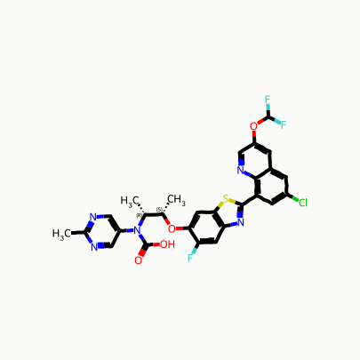 Cc1ncc(N(C(=O)O)[C@H](C)[C@H](C)Oc2cc3sc(-c4cc(Cl)cc5cc(OC(F)F)cnc45)nc3cc2F)cn1